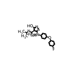 CC(C)NC(=N)c1c(O)nsc1Nc1ccc(Oc2ccc(F)cc2)cc1